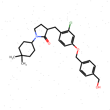 CC1(C)CCC(N2CCC(Cc3ccc(OCc4ccc(CO)cc4)cc3Cl)C2=O)CC1